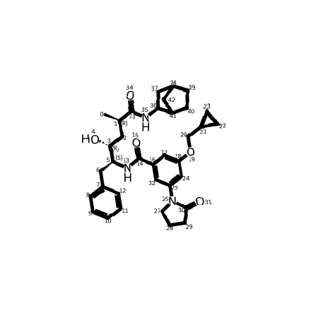 C[C@H](C[C@@H](O)[C@H](Cc1ccccc1)NC(=O)c1cc(OCC2CC2)cc(N2CCCC2=O)c1)C(=O)NC1CC2CCC1C2